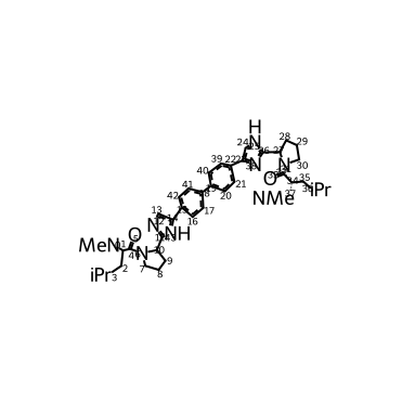 CNC(CC(C)C)C(=O)N1CCCC1c1ncc(-c2ccc(-c3ccc(-c4c[nH]c(C5CCCN5C(=O)[C@H](CC(C)C)NC)n4)cc3)cc2)[nH]1